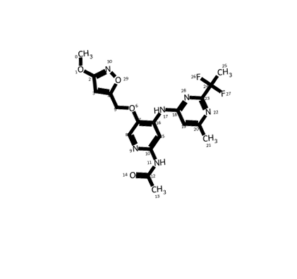 COc1cc(COc2cnc(NC(C)=O)cc2Nc2cc(C)nc(C(C)(F)F)n2)on1